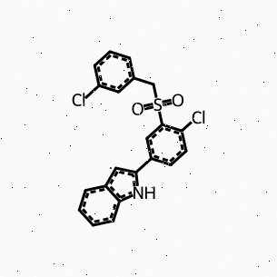 O=S(=O)(Cc1cccc(Cl)c1)c1cc(-c2[c]c3ccccc3[nH]2)ccc1Cl